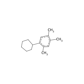 Cc1cc(C)c(C2CCCCC2)cc1C